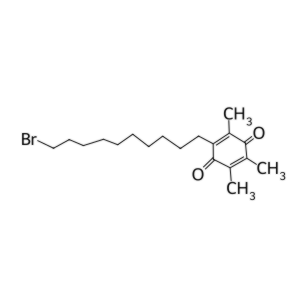 CC1=C(C)C(=O)C(CCCCCCCCCCBr)=C(C)C1=O